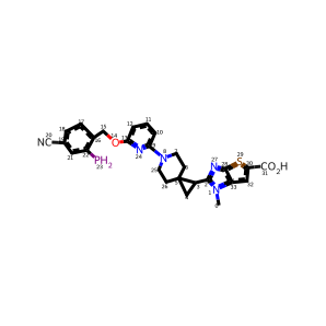 Cn1c(C2CC23CCN(c2cccc(OCc4ccc(C#N)cc4P)n2)CC3)nc2sc(C(=O)O)cc21